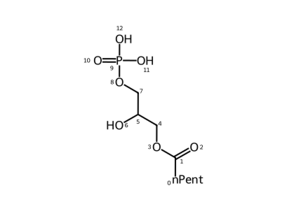 CCCCCC(=O)OCC(O)COP(=O)(O)O